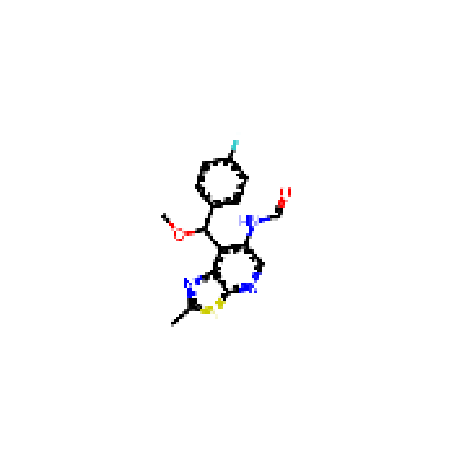 COC(c1ccc(F)cc1)c1c(NC=O)cnc2sc(C)nc12